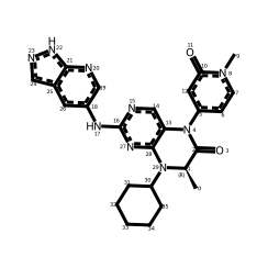 C[C@@H]1C(=O)N(c2ccn(C)c(=O)c2)c2cnc(Nc3cnc4[nH]ncc4c3)nc2N1C1CCCCC1